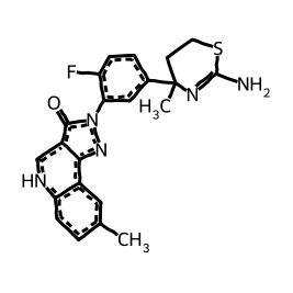 Cc1ccc2[nH]cc3c(=O)n(-c4cc(C5(C)CCSC(N)=N5)ccc4F)nc-3c2c1